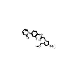 COC[C@@H]1C[C@@H](N)CN1CC(=O)Nc1ccc(-n2ccccc2=O)cc1F